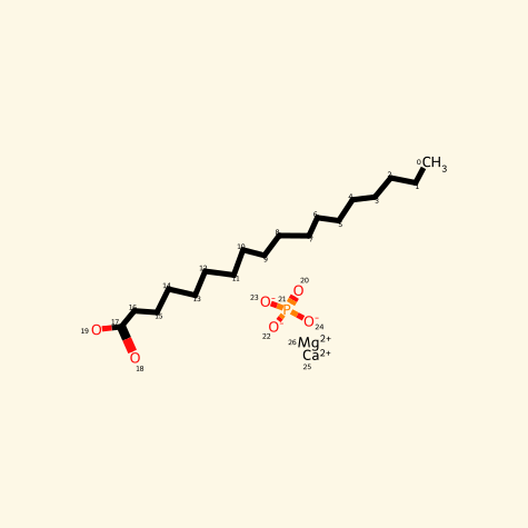 CCCCCCCCCCCCCCCCCC(=O)[O-].O=P([O-])([O-])[O-].[Ca+2].[Mg+2]